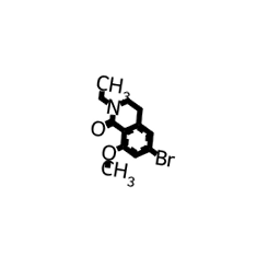 CCN1CCc2cc(Br)cc(OC)c2C1=O